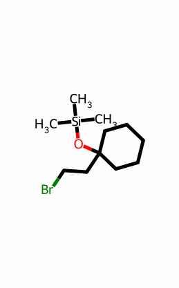 C[Si](C)(C)OC1(CCBr)CCCCC1